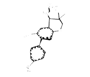 COc1cc2c(cc1-c1ccc(C(C)(C)C)cc1)OCC(C)(C)C2NC(=O)O